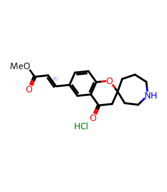 COC(=O)/C=C/c1ccc2c(c1)C(=O)CC1(CCCNCC1)O2.Cl